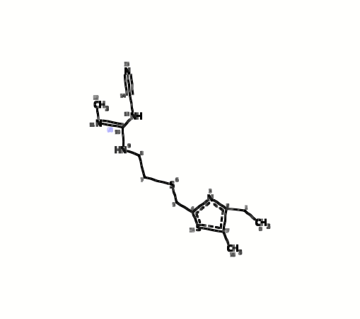 CCc1nc(CSCCN/C(=N/C)NC#N)sc1C